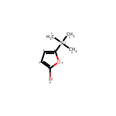 C[Si](C)(C)c1ccc(Br)o1